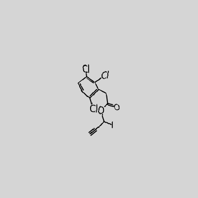 C#CC(I)OC(=O)Cc1c(Cl)ccc(Cl)c1Cl